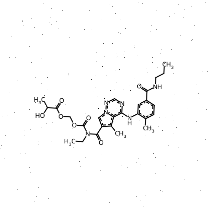 CCCNC(=O)c1ccc(C)c(Nc2ncnn3cc(C(=O)N(CC)C(=O)OCOC(=O)C(C)O)c(C)c23)c1